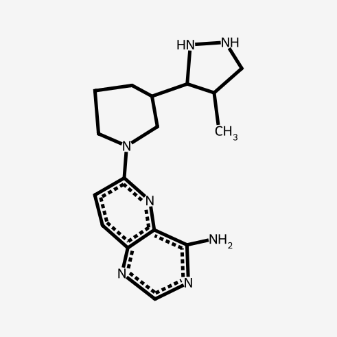 CC1CNNC1C1CCCN(c2ccc3ncnc(N)c3n2)C1